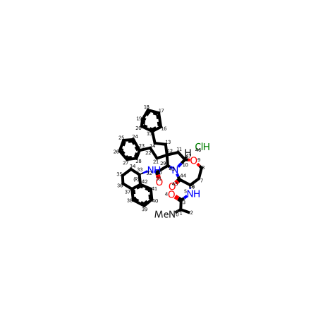 CNC(C)C(=O)N[C@H]1CCO[C@H]2CC(CCc3ccccc3)(CCc3ccccc3)C(C(=O)N[C@@H]3CCCc4ccccc43)N2C1=O.Cl